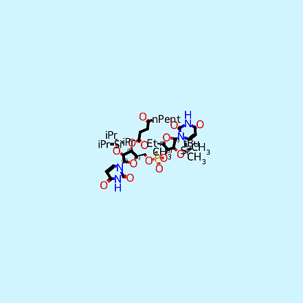 CCCCCC(=O)CCC(=O)O[C@@H]1C(O[Si](C(C)C)(C(C)C)C(C)C)[C@H](n2ccc(=O)[nH]c2=O)O[C@@H]1COP(C)(=O)O[C@@H]1C(O[Si](C)(C)C(C)(C)C)[C@H](n2ccc(=O)[nH]c2=O)O[C@@H]1CC